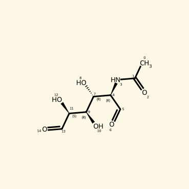 CC(=O)N[C@@H](C=O)[C@@H](O)[C@@H](O)[C@H](O)C=O